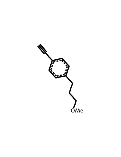 C#Cc1ccc(CCCOC)cc1